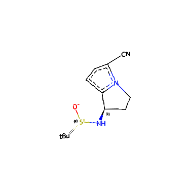 CC(C)(C)[S@+]([O-])N[C@@H]1CCn2c(C#N)ccc21